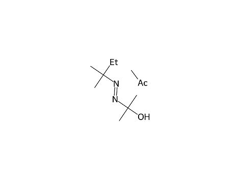 CC(C)=O.CCC(C)(C)/N=N/C(C)(C)O